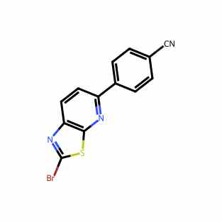 N#Cc1ccc(-c2ccc3nc(Br)sc3n2)cc1